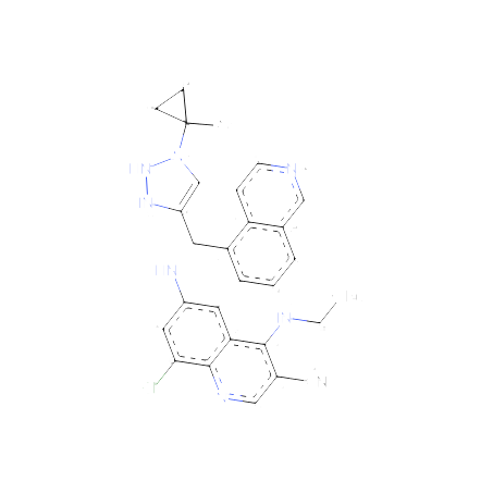 CC(=O)C1(N2C=C([C@@H](Nc3cc(Cl)c4ncc(C#N)c(NCC(C)(C)C)c4c3)c3cccc4cnccc34)NN2)CC1